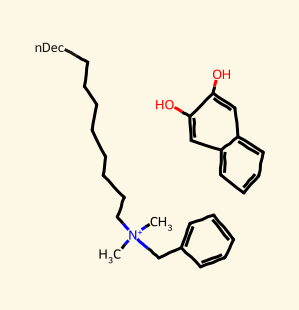 CCCCCCCCCCCCCCCCCC[N+](C)(C)Cc1ccccc1.Oc1cc2ccccc2cc1O